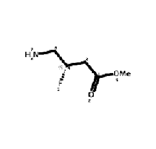 COC(=O)C[C@H](F)CN